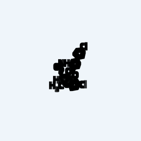 CC(C)(Cc1ccc(Cl)cc1)N[C@@H](CCC(N)=O)C(=O)OC(=O)c1ccc(-c2ccc(Cl)cc2)cc1